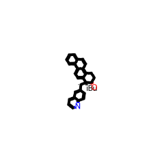 CCC(C)C1([CH]c2ccc3ncccc3c2)C(=O)CCc2c1ccc1c2ccc2ccccc21